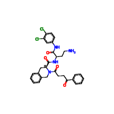 NCCC(NC(=O)[C@@H]1Cc2ccccc2CN1C(=O)CCC(=O)c1ccccc1)C(=O)Nc1ccc(Cl)c(Cl)c1